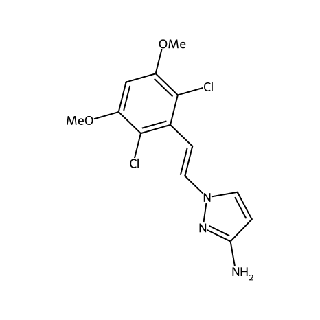 COc1cc(OC)c(Cl)c(C=Cn2ccc(N)n2)c1Cl